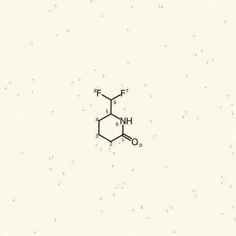 O=C1CCCC(C(F)F)N1